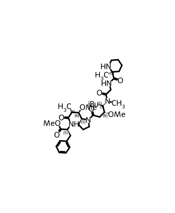 CC[C@H](C)[C@@H]([C@@H](CC(=O)N1CCC[C@H]1[C@H](OC)[C@@H](C)C(=O)N[C@@H](Cc1ccccc1)C(=O)OC)OC)N(C)C(=O)CNC(=O)[C@]1(C)CCCCN1